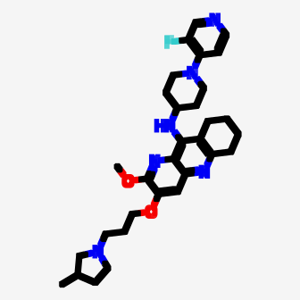 COc1nc2c(NC3CCN(c4ccncc4F)CC3)c3c(nc2cc1OCCCN1CCC(C)C1)CCCC3